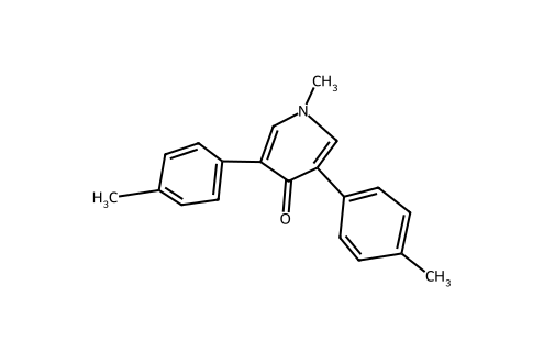 Cc1ccc(-c2cn(C)cc(-c3ccc(C)cc3)c2=O)cc1